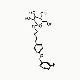 OCC1OC(OCCCCc2ccc(OCc3cccc(F)c3)cc2)C(O)C(O)C1O